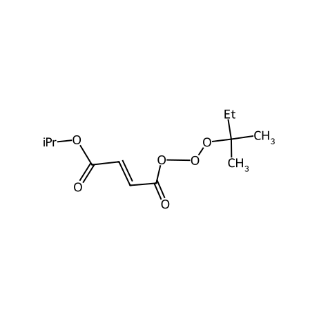 CCC(C)(C)OOOC(=O)/C=C/C(=O)OC(C)C